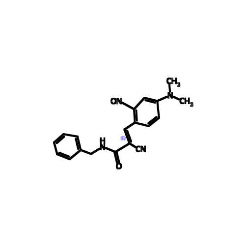 CN(C)c1ccc(/C=C(\C#N)C(=O)NCc2ccccc2)c(N=O)c1